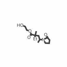 CCC(C)(CC(C)N1CCCC1=O)C(=O)OCCO